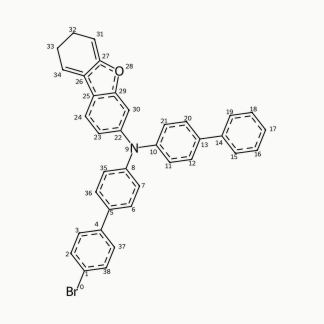 Brc1ccc(-c2ccc(N(c3ccc(-c4ccccc4)cc3)c3ccc4c5c(oc4c3)=CCCC=5)cc2)cc1